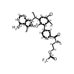 COc1c(C(C)n2nc(C)c3c(N)ncnc32)cc(Cl)c(C)c1-c1ccnc(C(=O)N(C)CCOC(=O)C(F)(F)F)c1